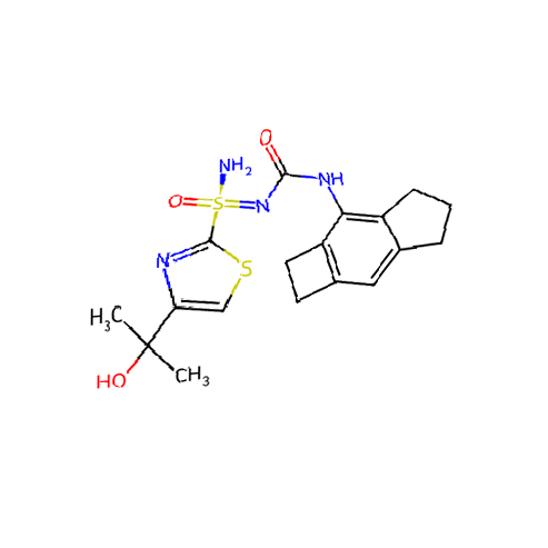 CC(C)(O)c1csc([S@](N)(=O)=NC(=O)Nc2c3c(cc4c2CC4)CCC3)n1